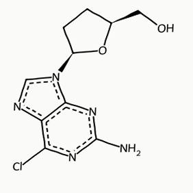 Nc1nc(Cl)c2ncn([C@H]3CC[C@@H](CO)O3)c2n1